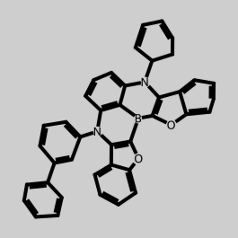 C1=CCC(N2c3cccc4c3B(c3oc5ccccc5c3N4c3cccc(-c4ccccc4)c3)c3oc4ccccc4c32)C=C1